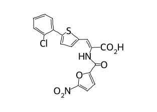 O=C(O)C(=Cc1ccc(-c2ccccc2Cl)s1)NC(=O)c1ccc([N+](=O)[O-])o1